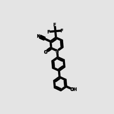 N#Cc1c(C(F)(F)F)ccn(-c2ccc(-c3cccc(O)c3)cc2)c1=O